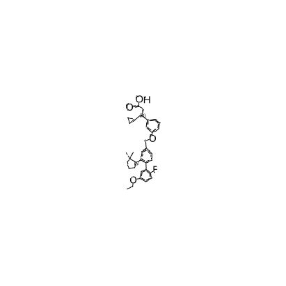 CCOc1ccc(F)c(-c2ccc(COc3cccc([C@H](CC(=O)O)C4CC4)c3)cc2[C@H]2CCCC2(C)C)c1